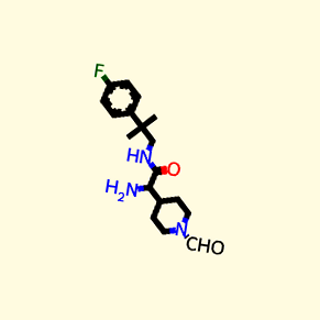 CC(C)(CNC(=O)C(N)C1CCN(C=O)CC1)c1ccc(F)cc1